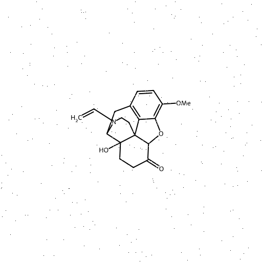 C=CN1CCC23c4c5ccc(OC)c4OC2C(=O)CCC3(O)C1C5